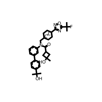 CC1(O)CC(C(=O)N(CC23CCC(c4noc(C(C)(C)F)n4)(CC2)CC3)c2cccc(-c3ccc(C(C)(C)O)cc3)c2)C1